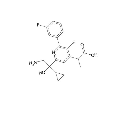 CC(C(=O)O)c1cc(C(O)(CN)C2CC2)nc(-c2cccc(F)c2)c1F